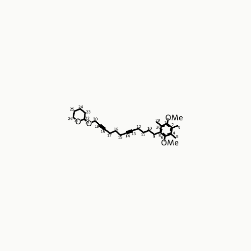 COc1c(C)c(C)c(OC)c(CCCCC#CCCCC#CCOC2CCCCO2)c1C